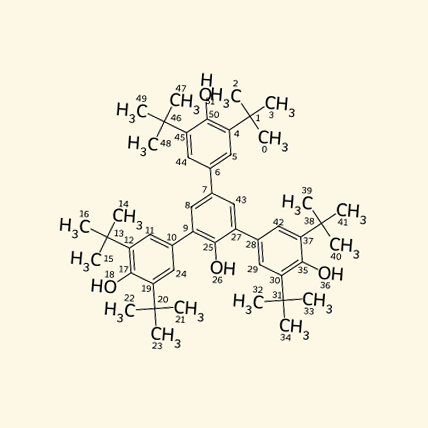 CC(C)(C)c1cc(-c2cc(-c3cc(C(C)(C)C)c(O)c(C(C)(C)C)c3)c(O)c(-c3cc(C(C)(C)C)c(O)c(C(C)(C)C)c3)c2)cc(C(C)(C)C)c1O